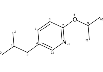 CC(C)Cc1ccc(OC(C)C)nc1